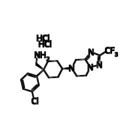 Cl.Cl.NC[C@]1(c2cccc(Cl)c2)CC[C@H](N2CCn3nc(C(F)(F)F)nc3C2)CC1